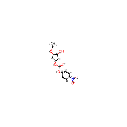 CCOC1CC(OC(=O)Oc2ccc([N+](=O)[O-])cc2)CC1O